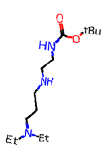 CCN(CC)CCCNCCNC(=O)OC(C)(C)C